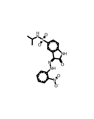 CC(C)NS(=O)(=O)c1ccc2c(c1)/C(=N/Nc1ccccc1[N+](=O)[O-])C(=O)N2